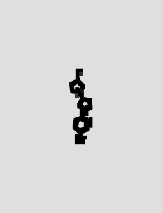 F[C@@H]1CCN([C@@H]2CCN(c3ccc(Br)cn3)C2)C1